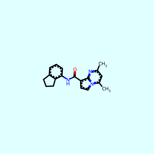 Cc1cc(C)n2ccc(C(=O)Nc3cccc4c3CCC4)c2n1